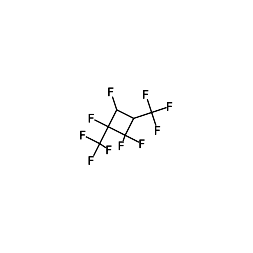 FC1C(C(F)(F)F)C(F)(F)C1(F)C(F)(F)F